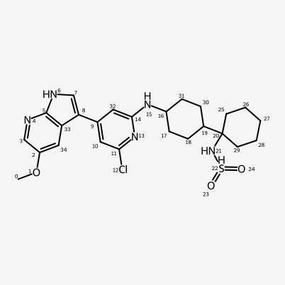 COc1cnc2[nH]cc(-c3cc(Cl)nc(NC4CCC(C5(N[SH](=O)=O)CCCCC5)CC4)c3)c2c1